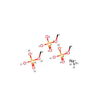 COP(=O)([O-])[O-].COP(=O)([O-])[O-].COP(=O)([O-])[O-].[Na+].[V+5]